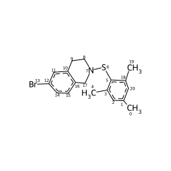 Cc1cc(C)c(SN2CCc3cc(Br)ccc3C2)c(C)c1